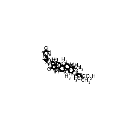 CC(C)C1=C2[C@H]3CCC4[C@@]5(C)CC[C@H](OC(=O)CC(C)(C)C(=O)O)C(C)(C)[C@@H]5CC[C@@]4(C)[C@]3(C)CC[C@@]2(C(=O)C(=O)NC2(c3ncc(Cl)cn3)CC2)CC1=O